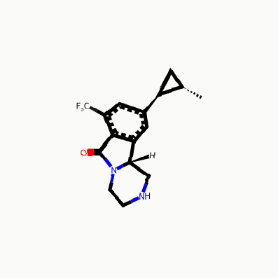 C[C@H]1C[C@@H]1c1cc2c(c(C(F)(F)F)c1)C(=O)N1CCNC[C@@H]21